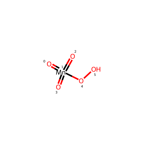 [O]=[Mn](=[O])(=[O])[O]O